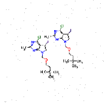 Cc1nc(Cl)c2c(I)cn(COCC[Si](C)(C)C)c2n1.Cc1nc(Cl)c2c(I)cn(COCC[Si](C)(C)C)c2n1